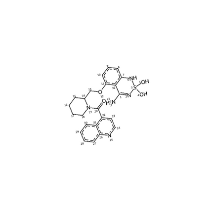 NC1=NS(O)(O)Nc2cccc(OCC3CCCCN3C(=O)c3ccnc4ccccc34)c21